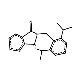 CC(C)c1cccc(C(C)C)c1CN1C(=O)c2ccccc2C1=O